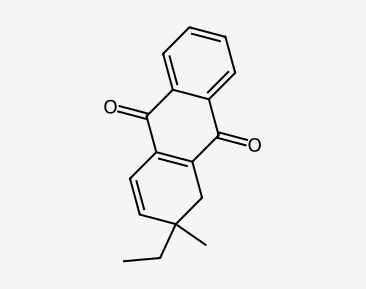 CCC1(C)C=CC2=C(C1)C(=O)c1ccccc1C2=O